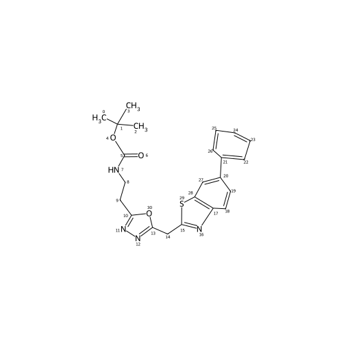 CC(C)(C)OC(=O)NCCc1nnc(Cc2nc3ccc(-c4ccccc4)cc3s2)o1